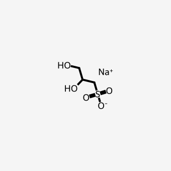 O=S(=O)([O-])CC(O)CO.[Na+]